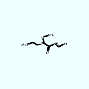 CSCC[C@@H](ON)C(=O)NCC(C)C